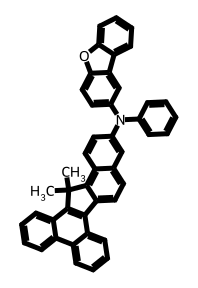 CC1(C)c2c(ccc3cc(N(c4ccccc4)c4ccc5oc6ccccc6c5c4)ccc23)-c2c1c1ccccc1c1ccccc21